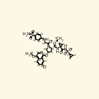 C=C[C@@H]1C[C@]1(NC(=O)[C@@H]1C[C@@H](Oc2ncc(OC)c3ccc(Cl)cc23)CN1C(=O)CNc1ccc(S(N)(=O)=O)cc1)C(=O)NS(=O)(=O)C1CC1